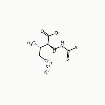 CC[C@H](C)[C@H](NNC(=S)[S-])C(=O)[O-].[K+].[K+]